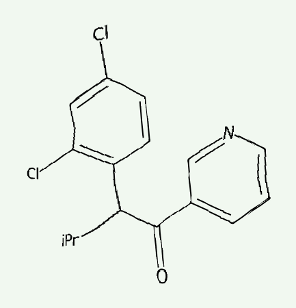 CC(C)C(C(=O)c1cccnc1)c1ccc(Cl)cc1Cl